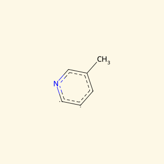 Cc1c[c][c]nc1